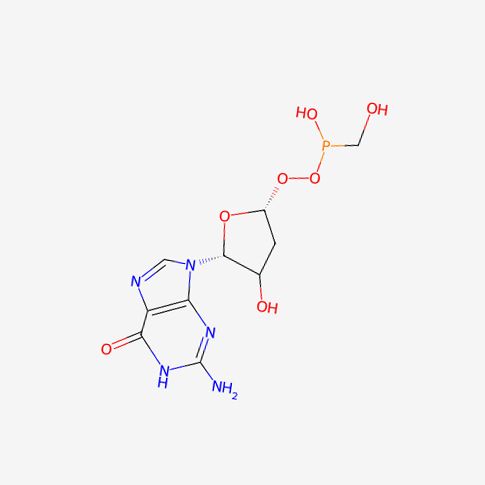 Nc1nc2c(ncn2[C@@H]2O[C@H](OOP(O)CO)CC2O)c(=O)[nH]1